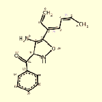 C=C/C(=C\C=C/C)C1=C(N)C(C(=O)c2ccccc2)NO1